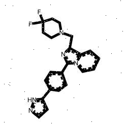 FC1(F)CCN(Cc2nc(-c3ccc(-c4ccn[nH]4)cc3)n3ccccc23)CC1